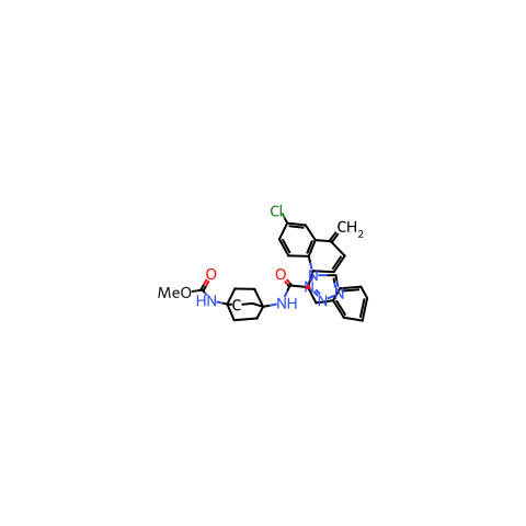 C=C(/C=C\CC(Cc1ccccc1)C(=O)NC12CCC(NC(=O)OC)(CC1)CC2)c1cc(Cl)ccc1-n1cnnn1